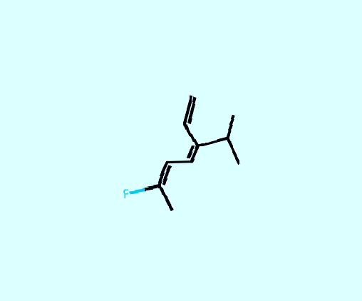 C=C/C(=C\C=C(/C)F)C(C)C